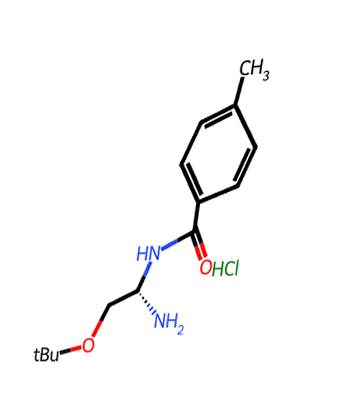 Cc1ccc(C(=O)N[C@H](N)COC(C)(C)C)cc1.Cl